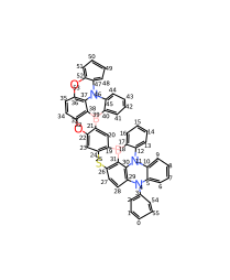 c1ccc(N2c3ccccc3N3c4ccccc4B4c5cc6c(cc5Sc5ccc2c3c54)Oc2ccc3c4c2B6c2ccccc2N4c2ccccc2O3)cc1